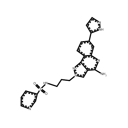 Nc1nc2cc(-c3ccn[nH]3)ccc2c2nn(CCCNS(=O)(=O)c3cccnc3)cc12